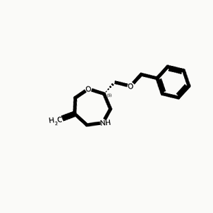 C=C1CNC[C@@H](COCc2ccccc2)OC1